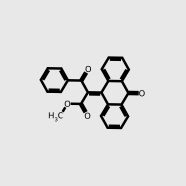 COC(=O)C(C(=O)c1ccccc1)=C1c2ccccc2C(=O)c2ccccc21